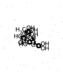 C[C@@H]1OC(O[C@@H]2[C@@H](O)[C@H](O)[C@@H](CO)O[C@H]2c2c(O)cc3oc(-c4ccc(O)c(O)c4)cc(=O)c3c2O)[C@H](O)[C@H](O)[C@H]1O